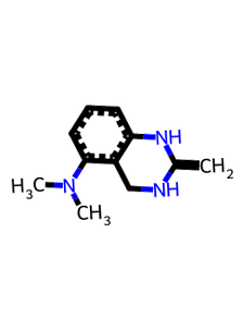 C=C1NCc2c(cccc2N(C)C)N1